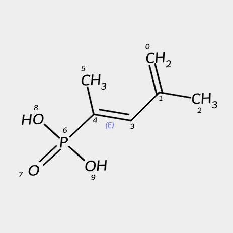 C=C(C)/C=C(\C)P(=O)(O)O